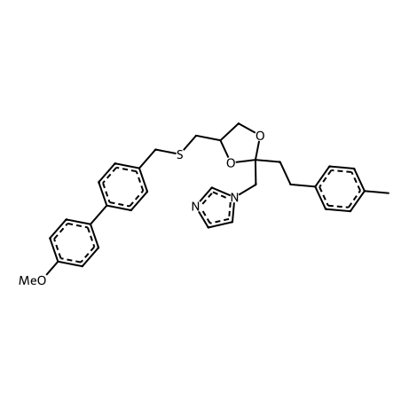 COc1ccc(-c2ccc(CSCC3COC(CCc4ccc(C)cc4)(Cn4ccnc4)O3)cc2)cc1